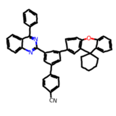 N#Cc1ccc(-c2cc(-c3ccc4c(c3)C3(CCCCC3)c3ccccc3O4)cc(-c3nc(-c4ccccc4)c4ccccc4n3)c2)cc1